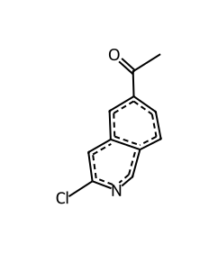 CC(=O)c1ccc2cnc(Cl)cc2c1